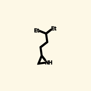 CCC(CC)CCC1CN1